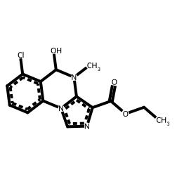 CCOC(=O)c1ncn2c1N(C)C(O)c1c(Cl)cccc1-2